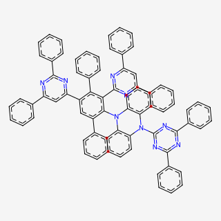 c1ccc(-c2cc(-c3cc(-c4ccccc4)c(N4c5ccccc5N(c5nc(-c6ccccc6)nc(-c6ccccc6)n5)c5ccccc54)c(-c4nc(-c5ccccc5)cc(-c5ccccc5)n4)c3-c3ccccc3)nc(-c3ccccc3)n2)cc1